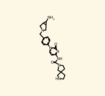 NC1C2CN(Cc3ccc(-n4ccc(NC(=O)N5CCC6(CCNC6)C5)nc4=O)cc3)CC12